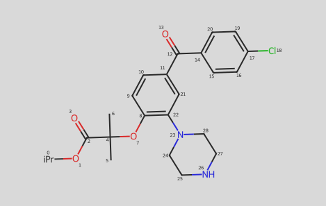 CC(C)OC(=O)C(C)(C)Oc1ccc(C(=O)c2ccc(Cl)cc2)cc1N1CCNCC1